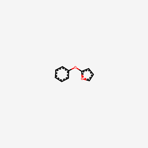 [c]1ccc(Oc2ccco2)cc1